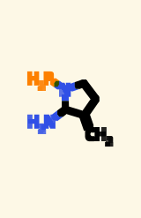 C=C1CCN(P)C1N